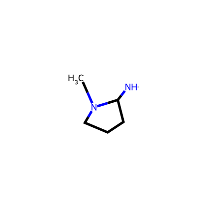 CN1CCCC1[NH]